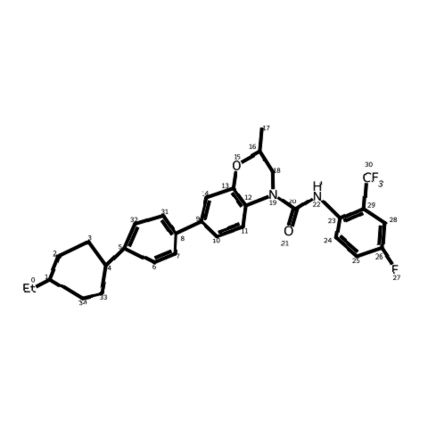 CCC1CCC(c2ccc(-c3ccc4c(c3)OC(C)CN4C(=O)Nc3ccc(F)cc3C(F)(F)F)cc2)CC1